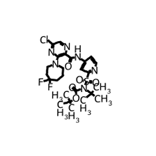 CC(C)(C)OC(=O)N(C(C)(C)C)S(=O)(=O)c1cc(NC(=O)c2ncc(Cl)nc2N2CCCC(F)(F)CC2)ccn1